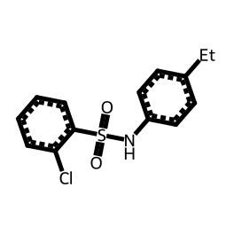 CCc1ccc(NS(=O)(=O)c2ccccc2Cl)cc1